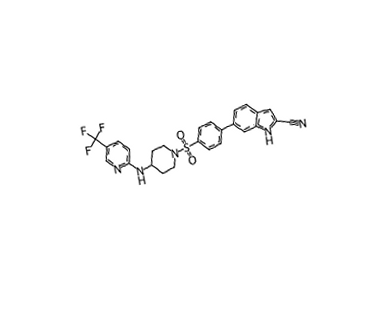 N#Cc1cc2ccc(-c3ccc(S(=O)(=O)N4CCC(Nc5ccc(C(F)(F)F)cn5)CC4)cc3)cc2[nH]1